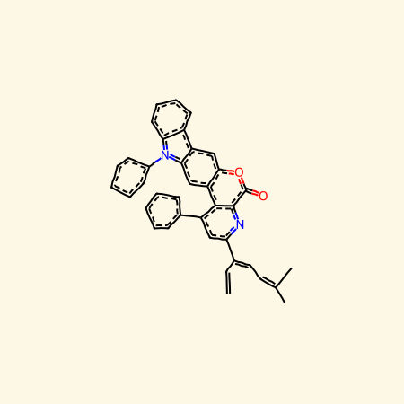 C=C/C(=C\C=C(C)C)c1cc(-c2ccccc2)c2c(n1)c(=O)oc1cc3c4ccccc4n(-c4ccccc4)c3cc12